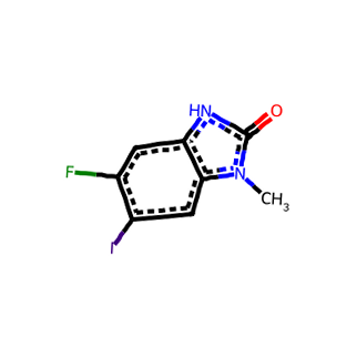 Cn1c(=O)[nH]c2cc(F)c(I)cc21